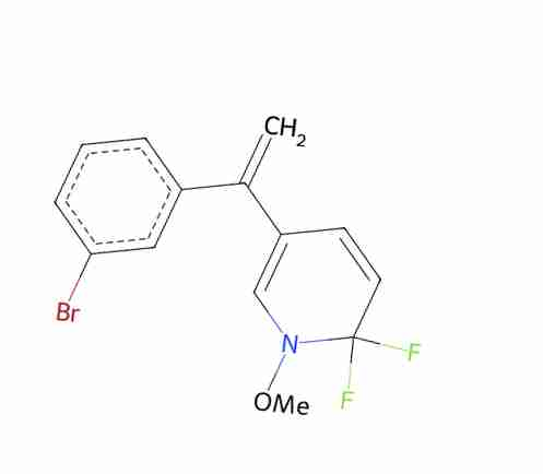 C=C(C1=CN(OC)C(F)(F)C=C1)c1cccc(Br)c1